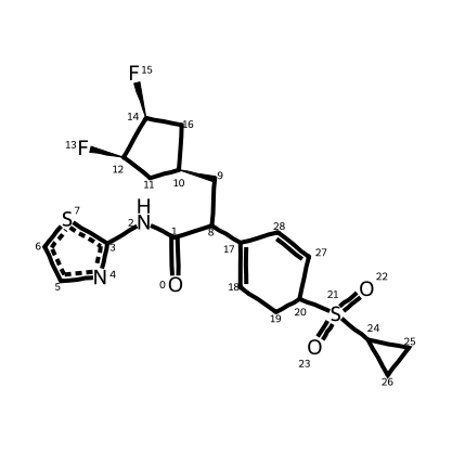 O=C(Nc1nccs1)C(C[C@H]1C[C@@H](F)[C@@H](F)C1)C1=CCC(S(=O)(=O)C2CC2)C=C1